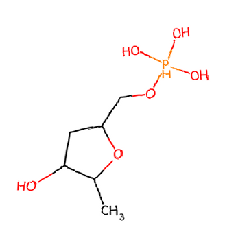 CC1OC(CO[PH](O)(O)O)CC1O